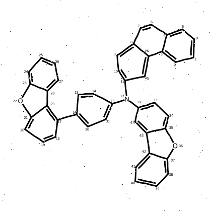 c1ccc2c(c1)ccc1ccc(N(c3ccc(-c4cccc5oc6ccccc6c45)cc3)c3ccc4oc5ccccc5c4c3)cc12